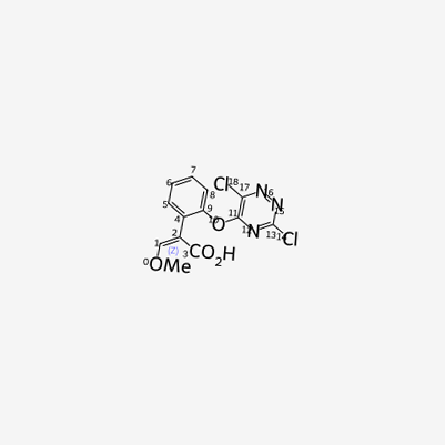 CO/C=C(\C(=O)O)c1ccccc1Oc1nc(Cl)nnc1Cl